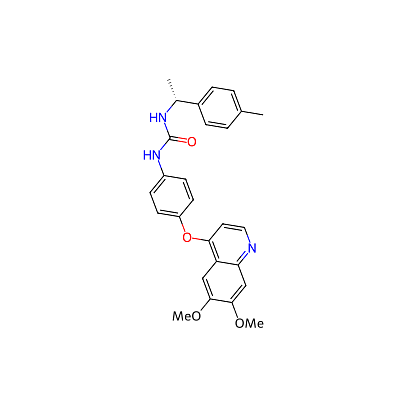 COc1cc2nccc(Oc3ccc(NC(=O)N[C@H](C)c4ccc(C)cc4)cc3)c2cc1OC